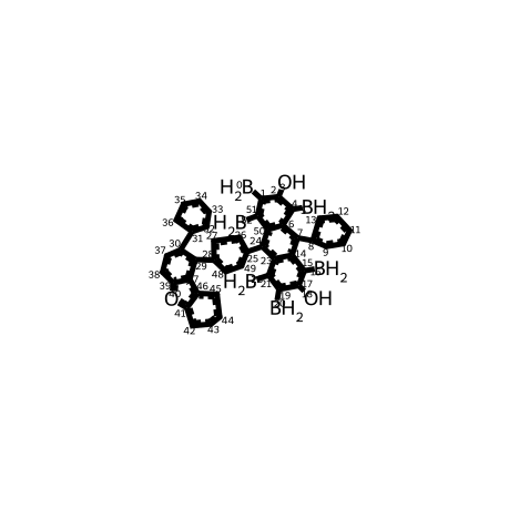 Bc1c(O)c(B)c2c(-c3ccccc3)c3c(B)c(O)c(B)c(B)c3c(-c3ccc(-c4c(-c5ccccc5)ccc5oc6ccccc6c45)cc3)c2c1B